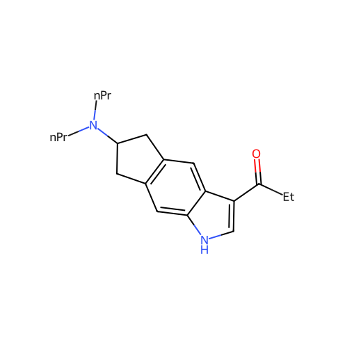 CCCN(CCC)C1Cc2cc3[nH]cc(C(=O)CC)c3cc2C1